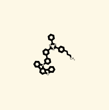 CCCCc1ccc(-c2nc(-c3ccccc3)nc(-c3cccc(-c4cccc(-n5c6ccccc6c6ccc7oc8ccccc8c7c65)c4)c3)n2)cc1